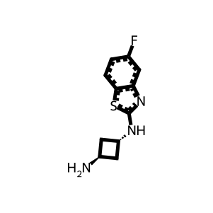 N[C@H]1C[C@H](Nc2nc3cc(F)ccc3s2)C1